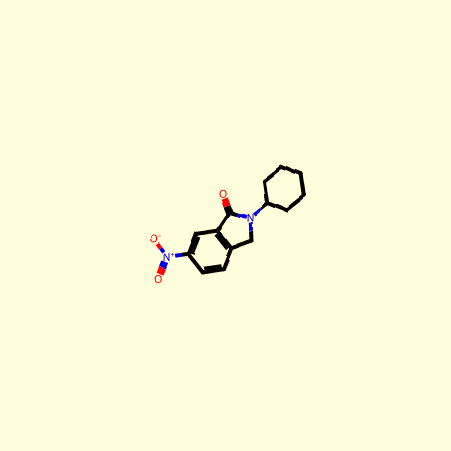 O=C1c2cc([N+](=O)[O-])ccc2CN1C1CCCCC1